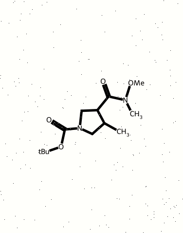 CON(C)C(=O)C1CN(C(=O)OC(C)(C)C)CC1C